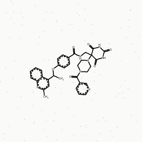 Cc1cc(C(C)Oc2ccc(C(=O)NCC3(N4CCN(C(=O)c5cccnc5)CC4)C(=O)NC(=O)NC3=O)cc2)c2ccccc2n1